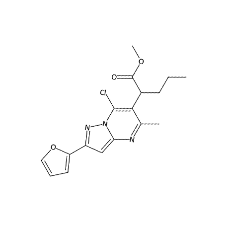 CCCC(C(=O)OC)c1c(C)nc2cc(-c3ccco3)nn2c1Cl